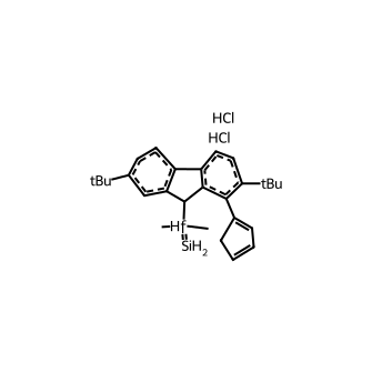 CC(C)(C)c1ccc2c(c1)[CH]([Hf]([CH3])([CH3])=[SiH2])c1c-2ccc(C(C)(C)C)c1C1=CC=CC1.Cl.Cl